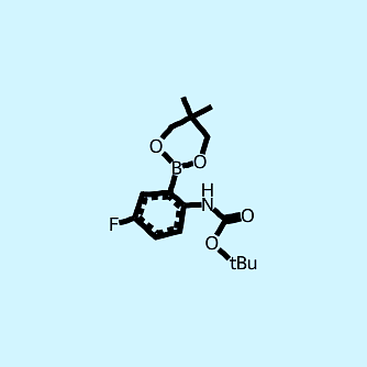 CC1(C)COB(c2cc(F)ccc2NC(=O)OC(C)(C)C)OC1